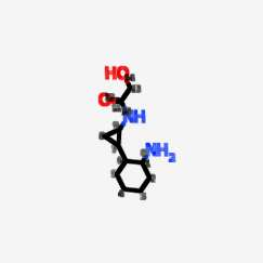 NC1CCCCC1C1CC1NC(=O)CO